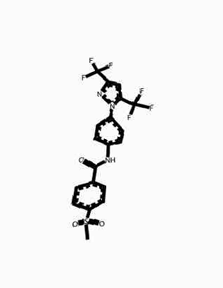 CS(=O)(=O)c1ccc(C(=O)Nc2ccc(-n3nc(C(F)(F)F)cc3C(F)(F)F)cc2)cc1